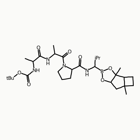 CC(NC(=O)OC(C)(C)C)C(=O)NC(C)C(=O)N1CCCC1C(=O)NC(B1OC2CC3(C)CCC3C2(C)O1)C(C)C